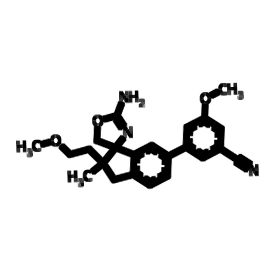 COCCC1(C)Cc2ccc(-c3cc(C#N)cc(OC)c3)cc2C12COC(N)=N2